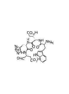 CC(=O)NC(Cc1c[nH]c2ccccc12)C(=O)N[C@@H](CCC(=O)O)C(=O)N[C@@H](Cc1c[nH]cn1)C(=O)N[C@H](C=O)CC(=O)O